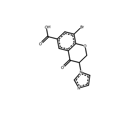 O=C(O)c1cc(Br)c2c(c1)C(=O)C(n1ccnc1)CO2